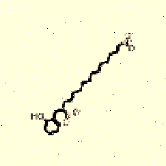 O=[N+]([O-])CCCCCCCCCCCCCC(Cc1ccccc1O)[N+](=O)[O-]